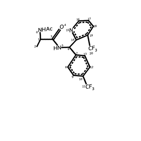 CC(=O)NC(C)C(=O)NC(c1ccc(C(F)(F)F)cc1)c1ncccc1C(F)(F)F